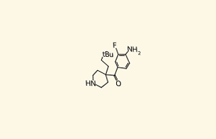 CC(C)(C)CCC1(C(=O)c2ccc(N)c(F)c2)CCNCC1